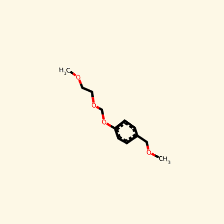 COCCOCOc1ccc(COC)cc1